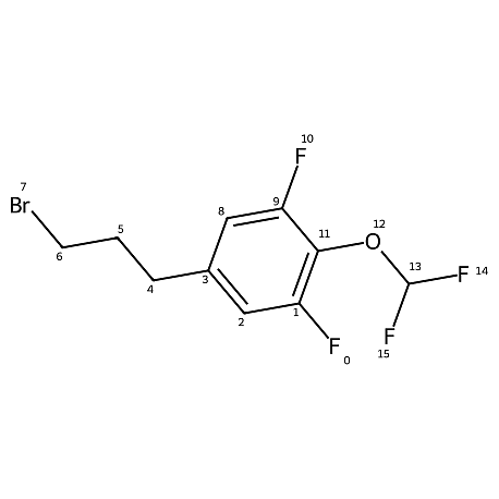 Fc1cc(CCCBr)cc(F)c1OC(F)F